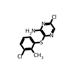 Cc1c(Cl)cccc1Sc1ncc(Cl)nc1N